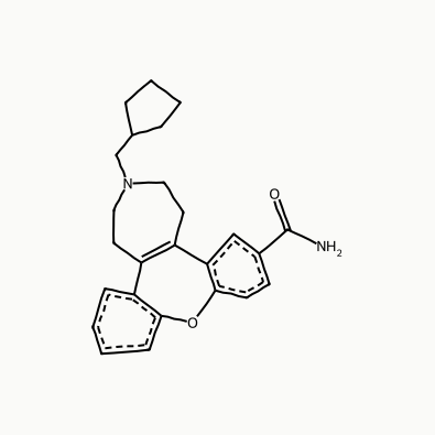 NC(=O)c1ccc2c(c1)C1=C(CCN(CC3CCCC3)CC1)c1ccccc1O2